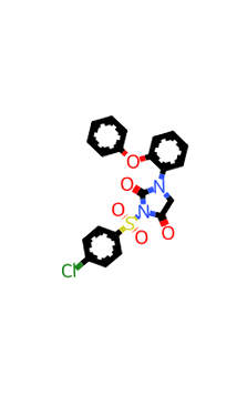 O=C1CN(c2ccccc2Oc2ccccc2)C(=O)N1S(=O)(=O)c1ccc(Cl)cc1